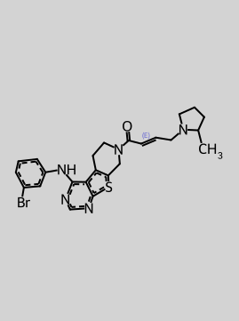 CC1CCCN1C/C=C/C(=O)N1CCc2c(sc3ncnc(Nc4cccc(Br)c4)c23)C1